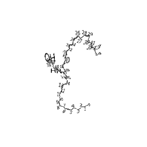 CCCCC/C=C\C/C=C\CCCCCCCC(CCCCCCC/C=C\C/C=C\CCCCC)NCCCCO